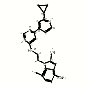 COc1ccc(F)c2c1cc(C#N)n2CCNc1cc(-c2ccnc(C3CC3)c2)ncn1